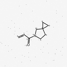 C=CC(=O)N1CCC2(CC2)C1